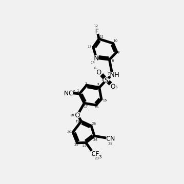 N#Cc1cc(S(=O)(=O)Nc2ccc(F)cn2)ccc1Oc1ccc(C(F)(F)F)c(C#N)c1